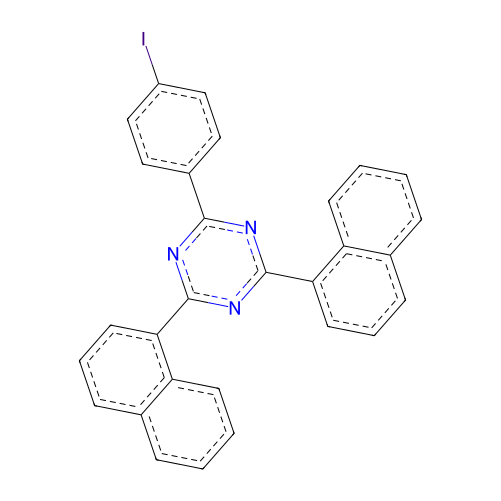 Ic1ccc(-c2nc(-c3cccc4ccccc34)nc(-c3cccc4ccccc34)n2)cc1